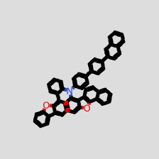 c1ccc(N(c2ccc(-c3ccc(-c4ccc5ccccc5c4)cc3)cc2)c2cccc3oc4c5ccccc5ccc4c23)c(-c2cccc3c2oc2ccccc23)c1